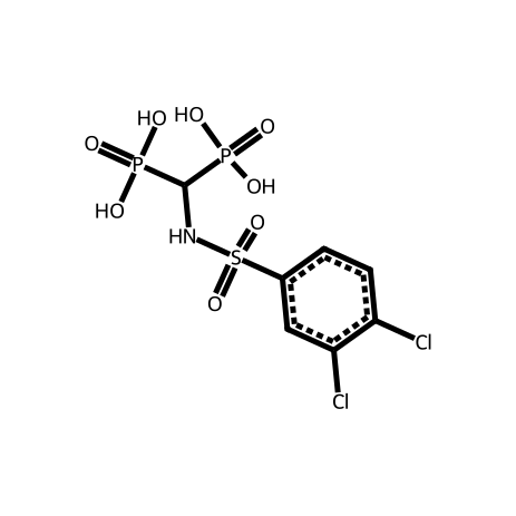 O=P(O)(O)C(NS(=O)(=O)c1ccc(Cl)c(Cl)c1)P(=O)(O)O